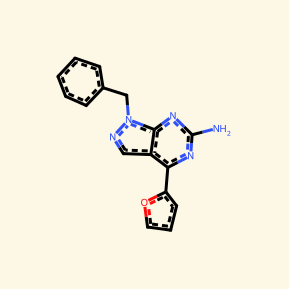 Nc1nc(-c2ccco2)c2cnn(Cc3ccccc3)c2n1